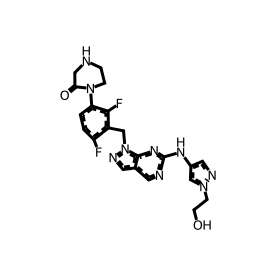 O=C1CNCCN1c1ccc(F)c(Cn2ncc3cnc(Nc4cnn(CCO)c4)nc32)c1F